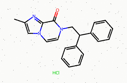 Cc1cn2ccn(CC(c3ccccc3)c3ccccc3)c(=O)c2n1.Cl